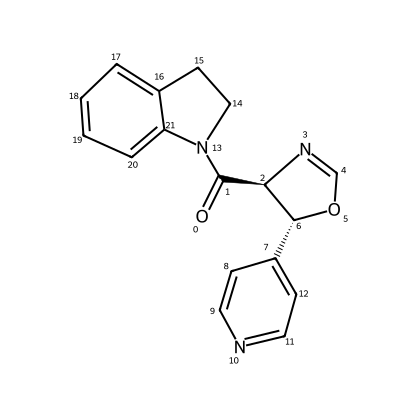 O=C([C@H]1N=CO[C@@H]1c1ccncc1)N1CCc2ccccc21